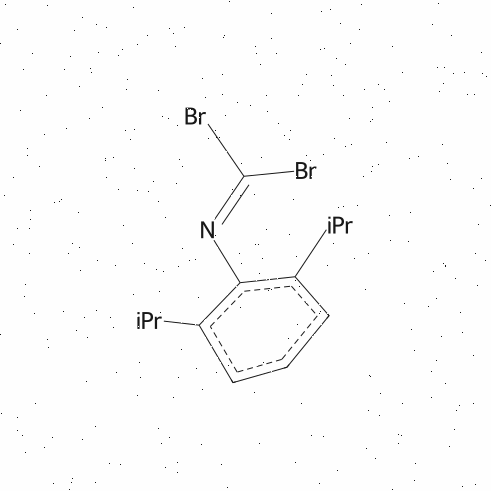 CC(C)c1cccc(C(C)C)c1N=C(Br)Br